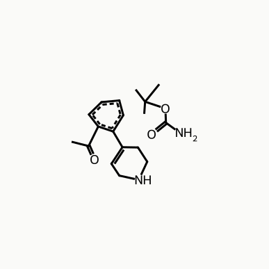 CC(=O)c1ccccc1C1=CCNCC1.CC(C)(C)OC(N)=O